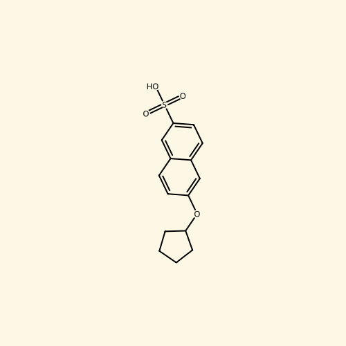 O=S(=O)(O)c1ccc2cc(OC3CCCC3)ccc2c1